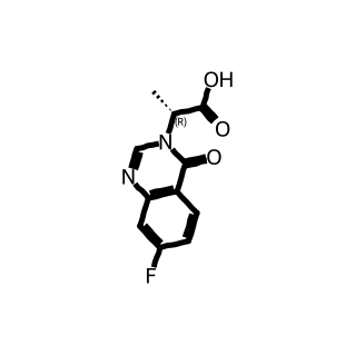 C[C@H](C(=O)O)n1cnc2cc(F)ccc2c1=O